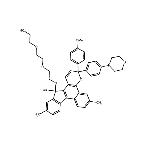 CCCCC1(OCCOCCOCCO)c2cc(C)ccc2-c2c1c1c(c3cc(C)ccc23)OC(c2ccc(OC)cc2)(c2ccc(N3CCOCC3)cc2)C=C1